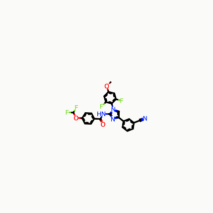 COc1cc(F)c(-n2cc(-c3cccc(C#N)c3)nc2NC(=O)c2ccc(OC(F)F)cc2)c(F)c1